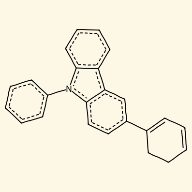 C1=CCCC(c2ccc3c(c2)c2ccccc2n3-c2ccccc2)=C1